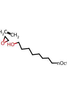 C1CO1.C=C.CCCCCCCCCCCCCCCCO